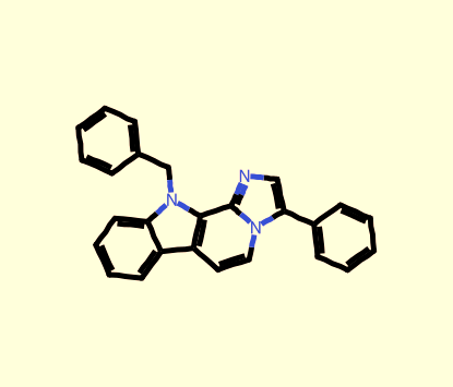 c1ccc(Cn2c3ccccc3c3ccn4c(-c5ccccc5)cnc4c32)cc1